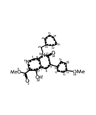 COC(=O)c1ncc2c(cc(-c3ccc(OC)cc3)c(=O)n2Cc2ccccc2)c1O